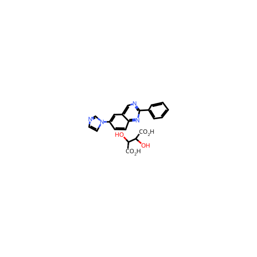 O=C(O)C(O)C(O)C(=O)O.c1ccc(-c2ncc3cc(-n4ccnc4)ccc3n2)cc1